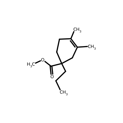 CCCC1(C(=O)OC)CCC(C)=C(C)C1